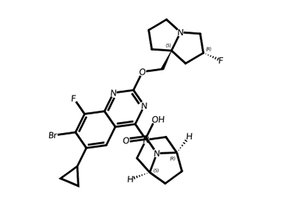 O=C(O)N1[C@@H]2CC[C@H]1CN(c1nc(OC[C@@]34CCCN3C[C@H](F)C4)nc3c(F)c(Br)c(C4CC4)cc13)C2